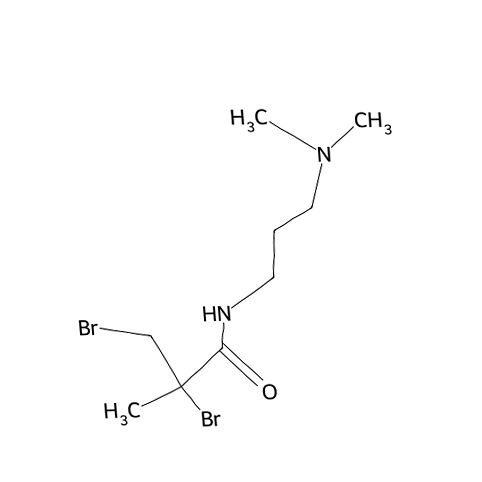 CN(C)CCCNC(=O)C(C)(Br)CBr